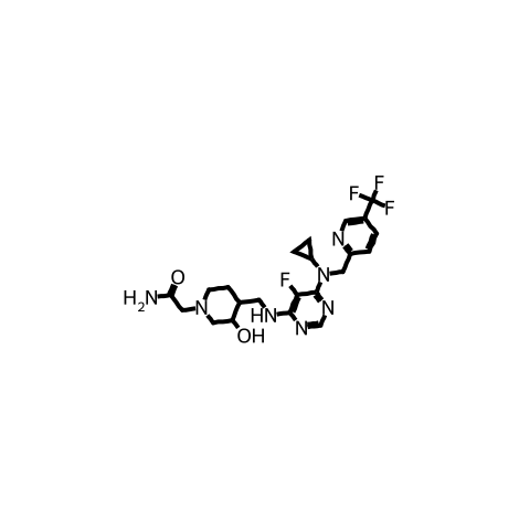 NC(=O)CN1CCC(CNc2ncnc(N(Cc3ccc(C(F)(F)F)cn3)C3CC3)c2F)C(O)C1